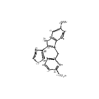 COc1ccc2c(Cc3cccc(C(=O)O)n3)c(-c3cscn3)[nH]c2c1